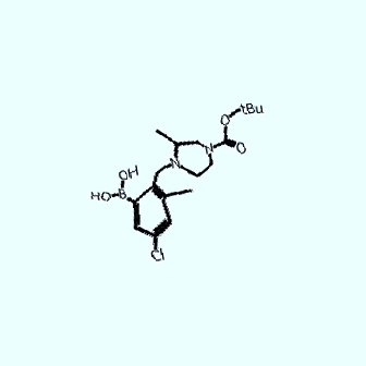 Cc1cc(Cl)cc(B(O)O)c1CN1CCN(C(=O)OC(C)(C)C)CC1C